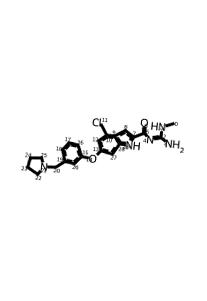 CNC(N)=NC(=O)c1cc2c(Cl)cc(Oc3cccc(CN4CCCC4)c3)cc2[nH]1